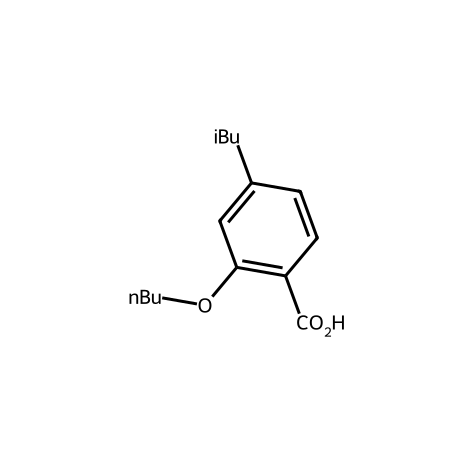 CCCCOc1cc(C(C)CC)ccc1C(=O)O